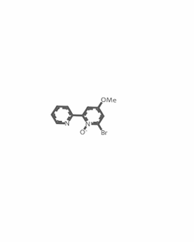 COc1cc(Br)[n+]([O-])c(-c2ccccn2)c1